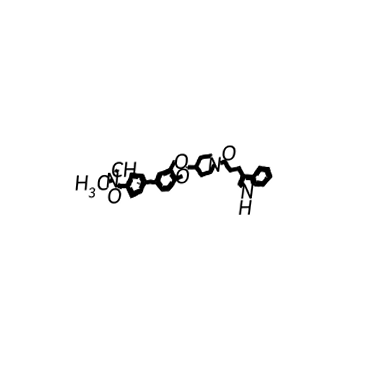 CN(C)C(=O)c1ccc(-c2ccc3c(c2)COC(C2CCN(C(=O)CCc4c[nH]c5ccccc45)CC2)O3)cc1